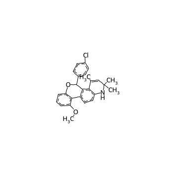 COc1cccc2c1-c1ccc3c(c1C(c1ccc(Cl)cc1)O2)C(C)=CC(C)(C)N3